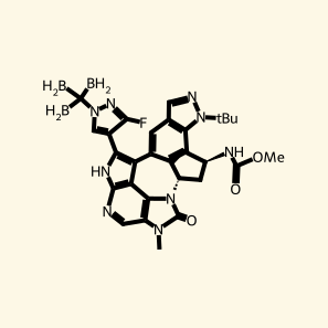 BC(B)(B)n1cc(-c2[nH]c3ncc4c(c3c2-c2ccc3c(cnn3C(C)(C)C)c2)n([C@@H]2CC[C@@H](NC(=O)OC)C2)c(=O)n4C)c(F)n1